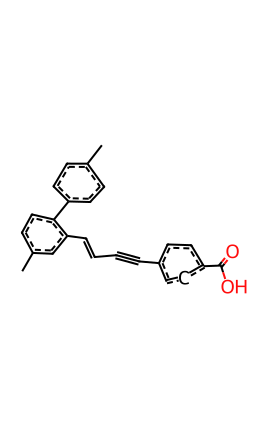 Cc1ccc(-c2ccc(C)cc2/C=C/C#Cc2ccc(C(=O)O)cc2)cc1